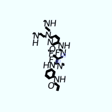 C=CC(=O)Nc1cccc(N/C(N=C)=C(/C=N\CNc2ccc(N(CCNC)CCNC)nc2OC)C(F)(F)F)c1